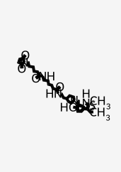 CCc1c(SC)[nH]c2c(CN3CCC(CCNC(=O)CCCCCNC(=O)CCCCCN4C(=O)C=CC4=O)CC3)c(O)ccc12